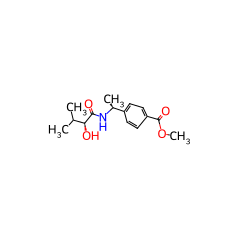 COC(=O)c1ccc([C@H](C)NC(=O)[C@@H](O)C(C)C)cc1